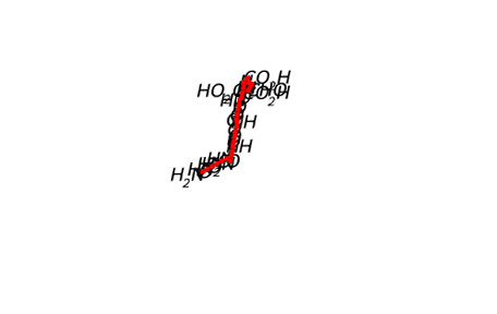 CC1(N(CC=O)CC(=O)O)CN(CC(=O)O)CCN(C(CCC(=O)NCCOCCOCC(=O)NCCOCCOCOCNCCCCC(NOCCNOCCNOCCN)C(N)=O)C(=O)O)C1